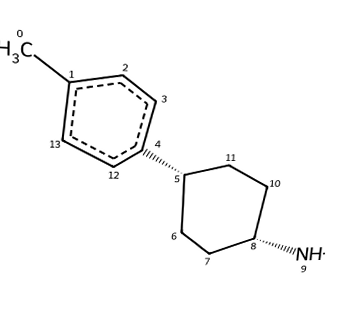 Cc1ccc([C@H]2CC[C@@H]([NH])CC2)cc1